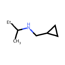 CCC(C)NCC1CC1